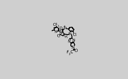 Cc1cc(C(F)(F)F)cc(N2C(=O)C[C@@H]3CN(Cc4cnc5c(n4)CN(C(=O)C(F)(F)F)C5)c4c(Cl)cccc4N(C)C(=O)[C@H]32)n1